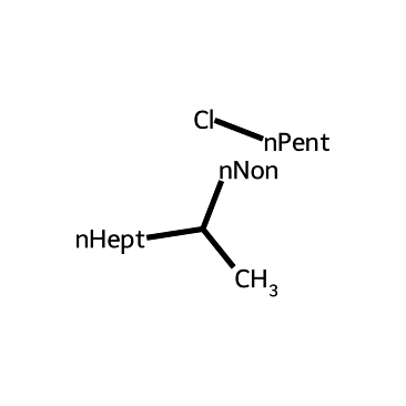 CCCCCCCCCC(C)CCCCCCC.CCCCCCl